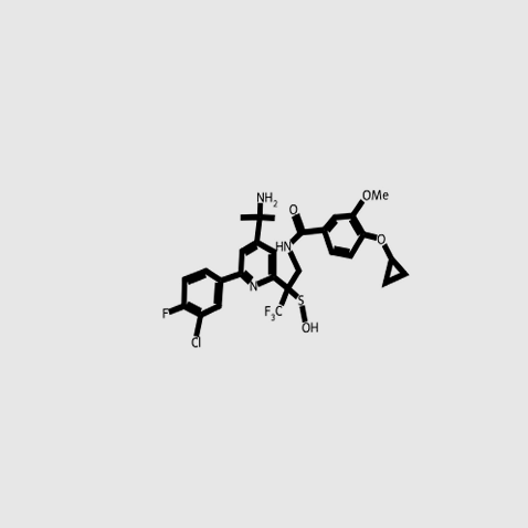 COc1cc(C(=O)NCC(SO)(c2cc(C(C)(C)N)cc(-c3ccc(F)c(Cl)c3)n2)C(F)(F)F)ccc1OC1CC1